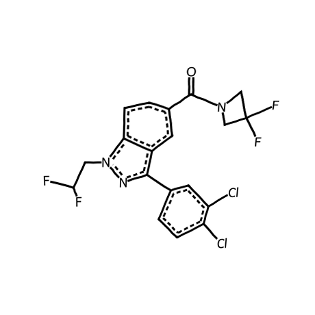 O=C(c1ccc2c(c1)c(-c1ccc(Cl)c(Cl)c1)nn2CC(F)F)N1CC(F)(F)C1